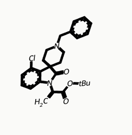 C=C(C(=O)OC(C)(C)C)N1C(=O)C2(CCN(Cc3ccccc3)CC2)c2c(Cl)cccc21